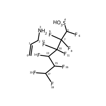 C=CCN.O=S(=O)(O)C(F)C(F)(F)C(F)(F)C(F)C(F)C(F)F